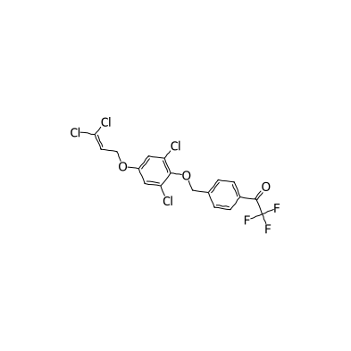 O=C(c1ccc(COc2c(Cl)cc(OCC=C(Cl)Cl)cc2Cl)cc1)C(F)(F)F